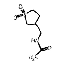 [CH2]C(=O)NCC1CCS(=O)(=O)C1